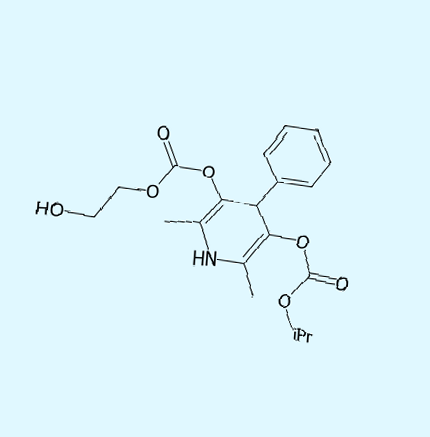 CC1=C(OC(=O)OCCO)C(c2ccccc2)C(OC(=O)OC(C)C)=C(C)N1